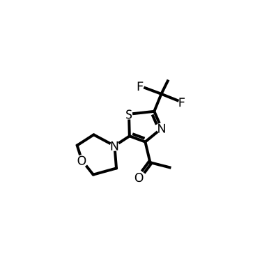 CC(=O)c1nc(C(C)(F)F)sc1N1CCOCC1